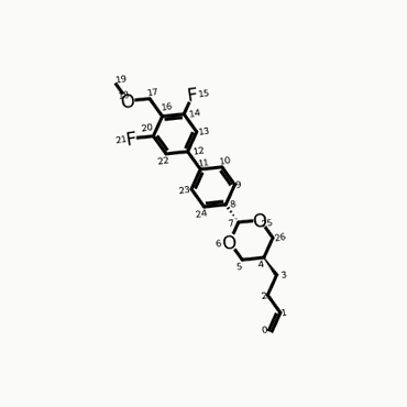 C=CCC[C@H]1CO[C@H](c2ccc(-c3cc(F)c(COC)c(F)c3)cc2)OC1